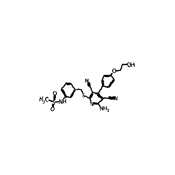 CS(=O)(=O)Nc1cccc(CSc2nc(N)c(C#N)c(-c3ccc(OCCO)cc3)c2C#N)c1